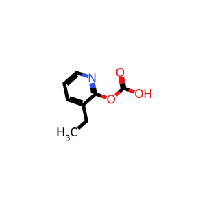 CCc1cccnc1OC(=O)O